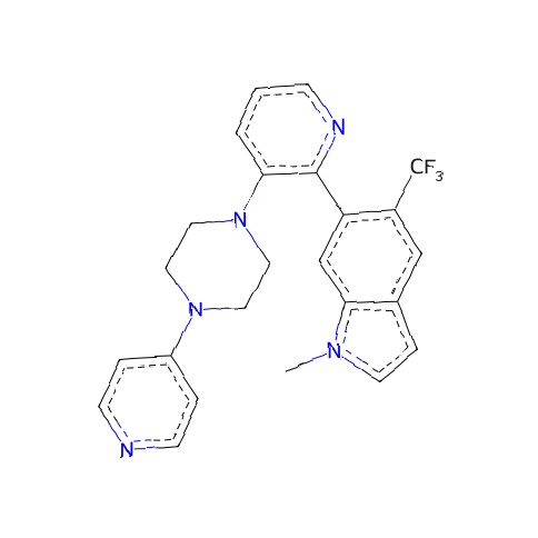 Cn1ccc2cc(C(F)(F)F)c(-c3ncccc3N3CCN(c4ccncc4)CC3)cc21